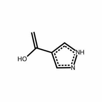 C=C(O)c1cn[nH]c1